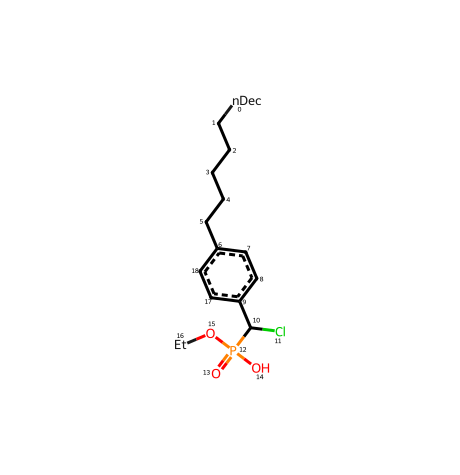 CCCCCCCCCCCCCCCc1ccc(C(Cl)P(=O)(O)OCC)cc1